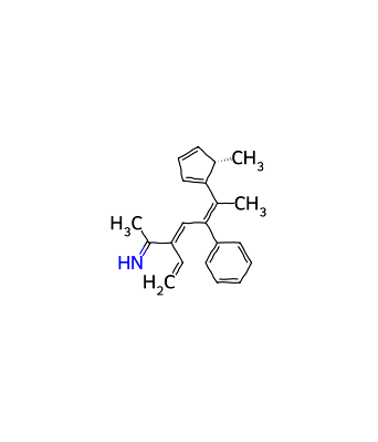 C=C/C(=C\C(=C(\C)C1=CC=C[C@@H]1C)c1ccccc1)C(C)=N